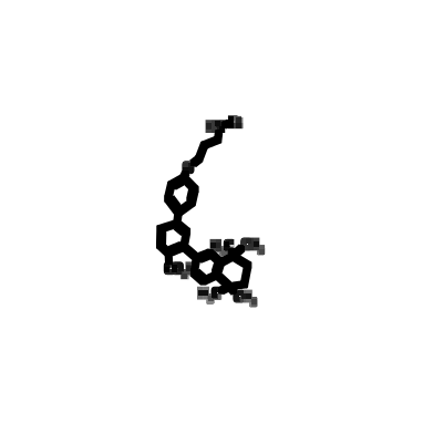 CCNCCCOc1ccc(-c2ccc(C(=O)O)c(-c3ccc4c(c3)C(C)(C)CCC4(C)C)c2)cc1